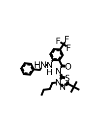 CCCCn1nc(C(C)(C)C)sc1=NC(=O)c1cc(C(F)(F)F)ccc1NNCc1ccccc1